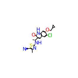 Cc1nc(N[C@@H](C)c2cc3cc(Cl)c(OCC4CC4)cc3[nH]c2=O)sc1C#N